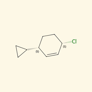 Cl[C@@H]1C=C[C@H](C2CC2)CC1